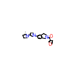 C[C@H]1CCCN1[C@H]1CCN(c2ccc3c(c2)CCN(C(=O)c2ccoc2)C3)C1